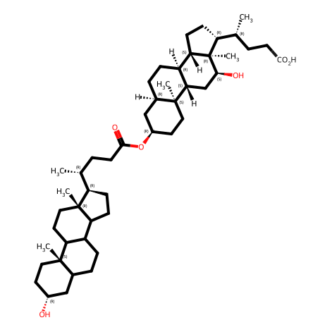 C[C@H](CCC(=O)O)[C@H]1CC[C@H]2[C@@H]3CC[C@@H]4C[C@H](OC(=O)CC[C@@H](C)[C@H]5CCC6C7CCC8C[C@H](O)CC[C@]8(C)C7CC[C@@]65C)CC[C@]4(C)[C@H]3C[C@H](O)[C@]12C